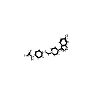 CCC(=O)N[C@H]1CC[C@H](CCN2CCN(c3noc4cc(Cl)ccc34)CC2)CC1